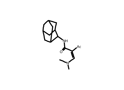 CC(=O)/C(=C/N(C)C)C(=O)NC1C2CC3CC(C2)CC1C3